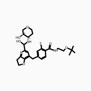 CC(C)(C)OCCNC(=O)c1ccc(Cc2cc(C(O)N[C@H]3CCOC[C@@H]3O)nc3c2OCC3)cc1F